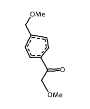 COCC(=O)c1ccc(COC)cc1